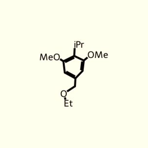 CCOCc1cc(OC)c(C(C)C)c(OC)c1